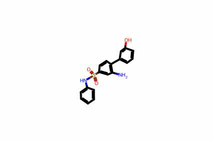 Nc1cc(S(=O)(=O)Nc2ccccc2)ccc1-c1cccc(O)c1